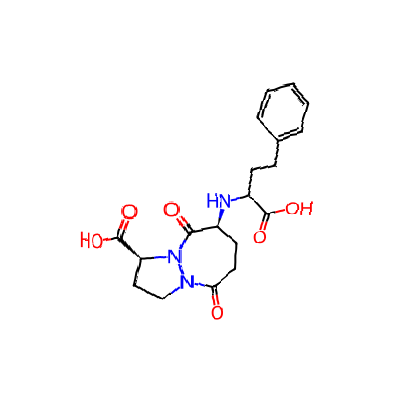 O=C(O)C(CCc1ccccc1)N[C@H]1CCC(=O)N2CC[C@@H](C(=O)O)N2C1=O